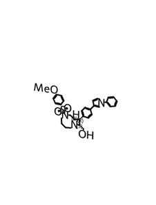 COc1ccc(S(=O)(=O)N2CCCCN3[C@H](CO)[C@H](c4ccc(-c5ccn(-c6ccccc6)c5)cc4)[C@@H]3C2)cc1